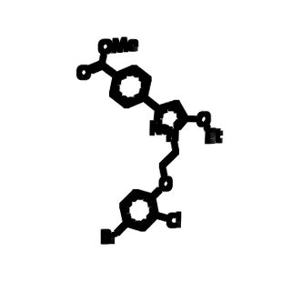 CCOc1cc(-c2ccc(C(=O)OC)cc2)nn1CCOc1ccc(Br)cc1Cl